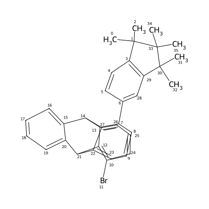 CC1(C)c2ccc(-c3ccc(Br)c4c3C3c5ccccc5C4c4ccccc43)cc2C(C)(C)C1(C)C